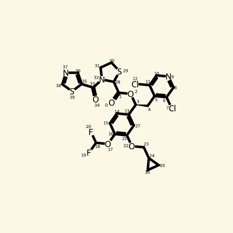 O=C(O[C@@H](Cc1c(Cl)cncc1Cl)c1ccc(OC(F)F)c(OCC2CC2)c1)C1SCCN1C(=O)c1cncs1